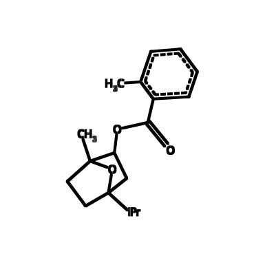 Cc1ccccc1C(=O)OC1CC2(C(C)C)CCC1(C)O2